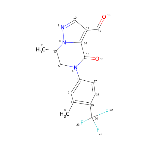 Cc1cc(N2CC(C)n3ncc(C=O)c3C2=O)ccc1C(F)(F)F